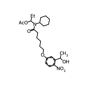 CCC(OC(C)=O)N(C(=O)CCCCCOc1ccc([N+](=O)[O-])c(C(C)O)c1)C1CCCCC1